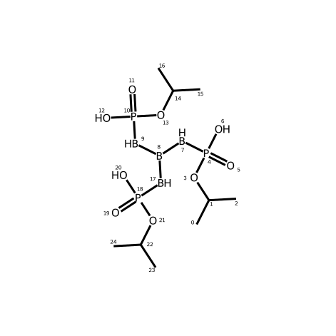 CC(C)OP(=O)(O)BB(BP(=O)(O)OC(C)C)BP(=O)(O)OC(C)C